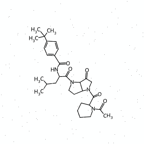 CC(=O)N1CCCCC1C(=O)N1CC(=O)C2C1CCN2C(=O)C(CC(C)C)NC(=O)c1ccc(C(C)(C)C)cc1